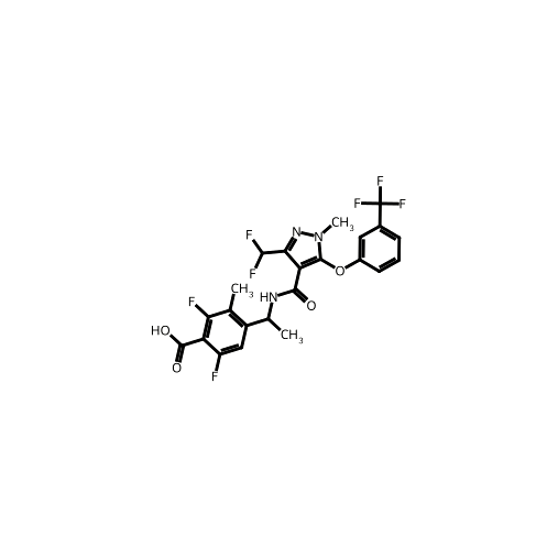 Cc1c(C(C)NC(=O)c2c(C(F)F)nn(C)c2Oc2cccc(C(F)(F)F)c2)cc(F)c(C(=O)O)c1F